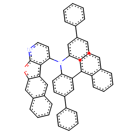 c1ccc(-c2cccc(N(c3ccc(-c4ccccc4)cc3-c3cccc4ccccc34)c3ccnc4oc5cc6ccccc6cc5c34)c2)cc1